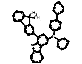 CC1(C)c2ccccc2-c2ccc(-c3cc(N(c4ccccc4)c4ccc(-c5ccccc5)cc4)cc4c3sc3ccccc34)cc21